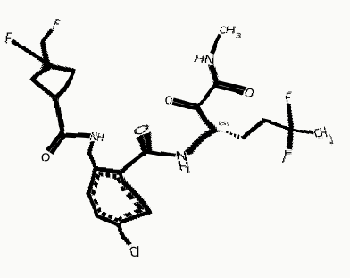 CNC(=O)C(=O)[C@H](CCC(C)(F)F)NC(=O)c1cc(Cl)ccc1NC(=O)C1CC(F)(F)C1